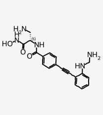 NCNc1ccccc1C#Cc1ccc(C(=O)N[C@@H](CN)C(=O)NO)cc1